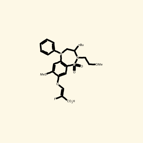 CCCCC1CN(c2ccccc2)c2cc(SC)c(O/C=C(\F)C(=O)O)cc2S(=O)(=O)N1CCOC